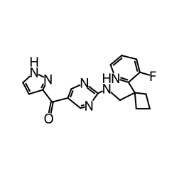 O=C(c1cnc(NCC2(c3ncccc3F)CCC2)nc1)c1cc[nH]n1